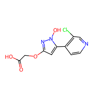 O=C(O)COc1cc(-c2ccncc2Cl)n(O)n1